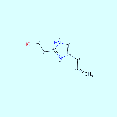 C=CCc1c[nH]c(CCO)n1